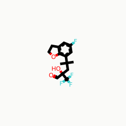 CC(C)(CC(O)(C=O)C(F)(F)F)c1cc(F)cc2c1OCC2